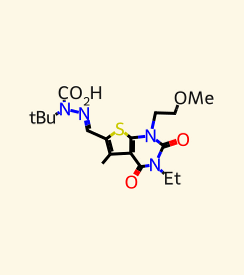 CCn1c(=O)c2c(C)c(C=NN(C(=O)O)C(C)(C)C)sc2n(CCOC)c1=O